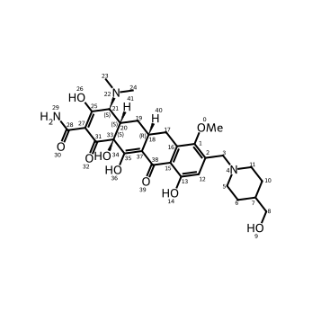 COc1c(CN2CCC(CO)CC2)cc(O)c2c1C[C@H]1C[C@H]3[C@H](N(C)C)C(O)=C(C(N)=O)C(=O)[C@@]3(O)C(O)=C1C2=O